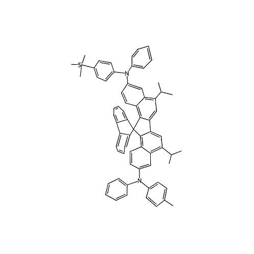 Cc1ccc(N(c2ccccc2)c2ccc3c4c(cc(C(C)C)c3c2)-c2cc(C(C)C)c3cc(N(c5ccccc5)c5ccc([Si](C)(C)C)cc5)ccc3c2C42c3ccccc3-c3ccccc32)cc1